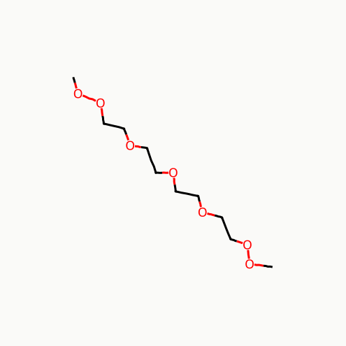 COOCCOCCOCCOCCOOC